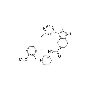 COc1cccc(F)c1CN1CCC[C@@H](NC(=O)N2CCc3[nH]nc(-c4ccnc(C)c4)c3C2)C1